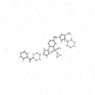 Cc1cc(Nc2ccc(-c3cnc([C@H]4CC[C@H](Nc5ccccn5)CC4)s3)c(S(=O)(=O)C3CC3)c2)nn1C1CCCCO1